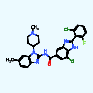 Cc1ccc2nc(NC(=O)c3cc(Cl)c4[nH]c(-c5c(F)cccc5Cl)nc4c3)n(C3CCN(C)CC3)c2c1